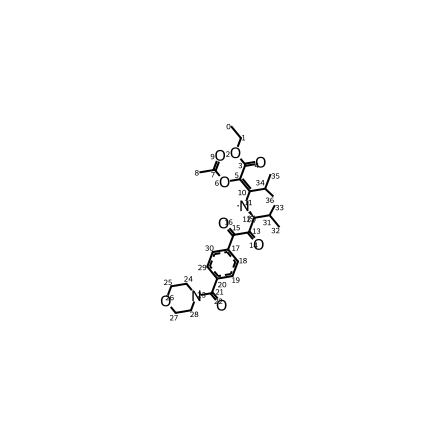 CCOC(=O)C(OC(C)=O)=C([N][C@H](C(=O)C(=O)c1ccc(C(=O)N2CCOCC2)cc1)C(C)C)C(C)C